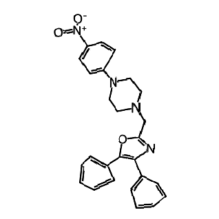 O=[N+]([O-])c1ccc(N2CCN(Cc3nc(-c4ccccc4)c(-c4ccccc4)o3)CC2)cc1